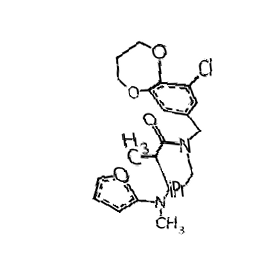 CC(C)CN(Cc1cc(Cl)c2c(c1)OCCCO2)C(=O)C(C)CN(C)c1ccco1